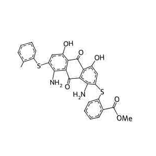 COC(=O)c1ccccc1Sc1cc(O)c2c(c1N)C(=O)c1c(N)c(Sc3ccccc3C)cc(O)c1C2=O